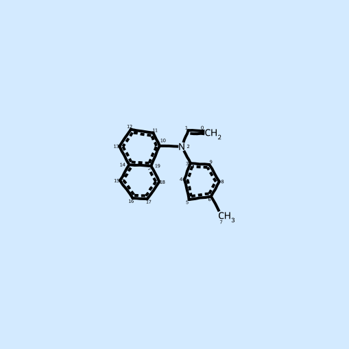 C=CN(c1ccc(C)cc1)c1cccc2ccccc12